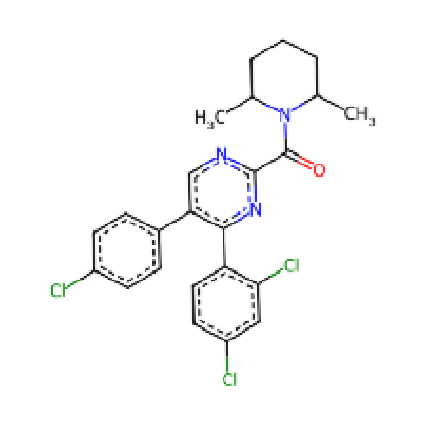 CC1CCCC(C)N1C(=O)c1ncc(-c2ccc(Cl)cc2)c(-c2ccc(Cl)cc2Cl)n1